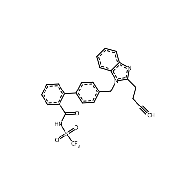 C#CCCc1nc2ccccc2n1Cc1ccc(-c2ccccc2C(=O)NS(=O)(=O)C(F)(F)F)cc1